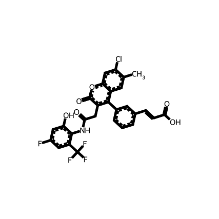 Cc1cc2c(-c3cccc(C=CC(=O)O)c3)c(CC(=O)Nc3c(O)cc(F)cc3C(F)(F)F)c(=O)oc2cc1Cl